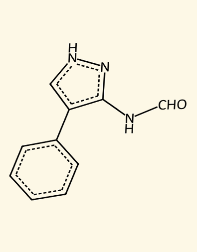 O=CNc1n[nH]cc1-c1ccccc1